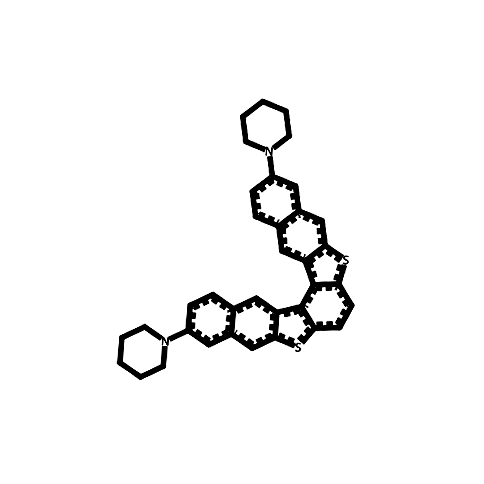 c1cc2cc3c(cc2cc1N1CCCCC1)sc1ccc2sc4cc5cc(N6CCCCC6)ccc5cc4c2c13